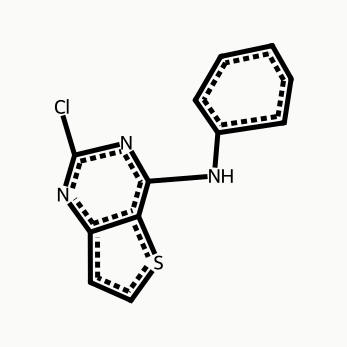 Clc1nc(Nc2ccccc2)c2sccc2n1